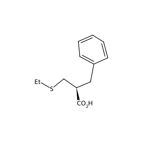 CCSC[C@@H](Cc1ccccc1)C(=O)O